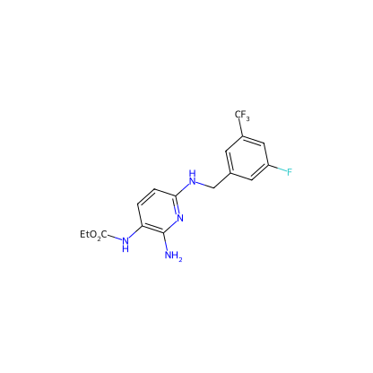 CCOC(=O)Nc1ccc(NCc2cc(F)cc(C(F)(F)F)c2)nc1N